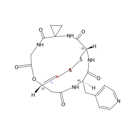 O=C1C[C@H]2/C=C/CCSSC[C@@H](NC(=O)[C@@H](Cc3ccncc3)N1)C(=O)NC1(CC1)C(=O)NCC(=O)O2